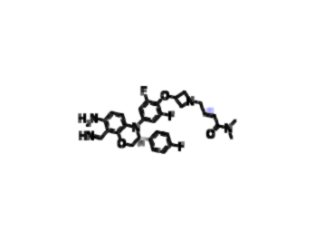 CN(C)C(=O)/C=C/CN1CC(Oc2c(F)cc(N3c4ccc(N)c(C=N)c4OC[C@H]3c3ccc(F)cc3)cc2F)C1